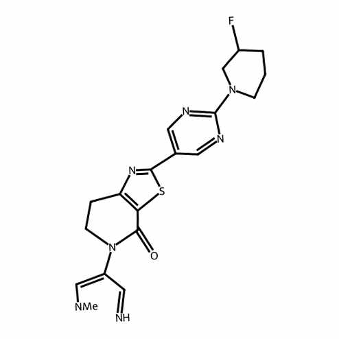 CN/C=C(\C=N)N1CCc2nc(-c3cnc(N4CCCC(F)C4)nc3)sc2C1=O